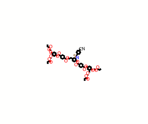 C=CC(=O)OCOCc1cc(OC(=O)C2CCC(C(=O)Oc3ccc(CCOC(=O)C4CCC(C(=O)Oc5ccc(OCOC(=O)C=C)c(OCOC(=O)C=C)c5)CC4)c4sc(-c5ccc(C#N)cc5)nc34)CC2)ccc1OCOC(=O)C=C